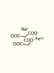 O=C([O-])CC(=O)[O-].O=C([O-])CC(=O)[O-].[Fe+3].[Na+]